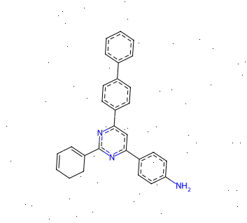 Nc1ccc(-c2cc(-c3ccc(-c4ccccc4)cc3)nc(C3=CC=CCC3)n2)cc1